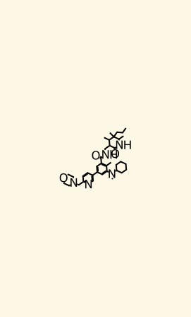 CCCC1(C)C(C)NC(=O)C(CNC(=O)c2cc(-c3ccc(CN4CCOCC4)nc3)cc(N(C)C3CCCCC3)c2C)C1C